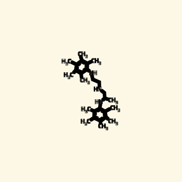 Cc1c(C)c(C)c(NCCNCC(C)Nc2c(C)c(C)c(C)c(C)c2C)c(C)c1C